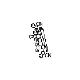 N#Cc1c2c(c(C#N)c3ccccc13)C1CC3=C4C=C1CC1=C2CC2C(=C1)CC1=C(CC5C(=C1)CC1=C(CC(C(=O)C3=O)C(=C1)C4)c1c5c(C#N)c3ccccc3c1C#N)c1c2c(C#N)c2ccccc2c1C#N